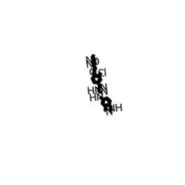 Cc1nnc(COc2ccc(-c3nnc(Nc4ccc5[nH]ncc5c4)[nH]3)cc2Cl)o1